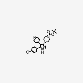 CC(C)(C)OC(=O)N1CCN(c2n[nH]c(-c3ccc(Cl)cc3)c2-c2ccncc2)CC1